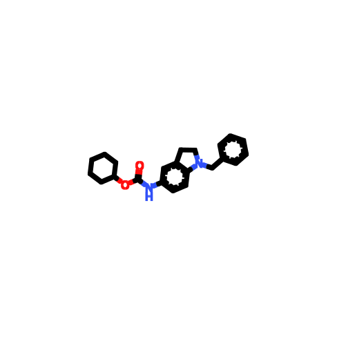 O=C(Nc1ccc2c(c1)CCN2Cc1ccccc1)OC1CCCCC1